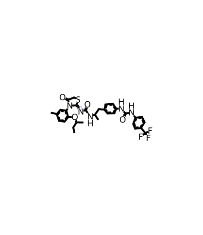 CCC(C)Oc1ccc(C)cc1N1C(=O)CS/C1=N\C(=O)NC(C)Cc1ccc(NC(=O)Nc2ccc(C(F)(F)F)cc2)cc1